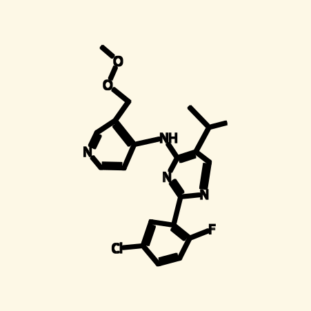 COOCc1cnccc1Nc1nc(-c2cc(Cl)ccc2F)ncc1C(C)C